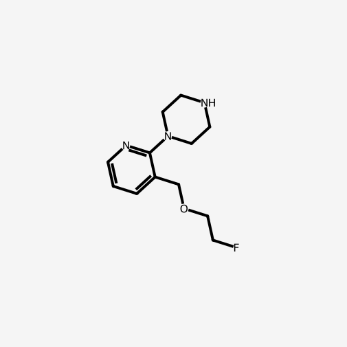 FCCOCc1cccnc1N1CCNCC1